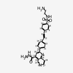 NCCNS(=O)(=O)c1ccc(C#Cc2ccc(-c3cc(C(=O)NN)c4cnccc4n3)cc2)cc1